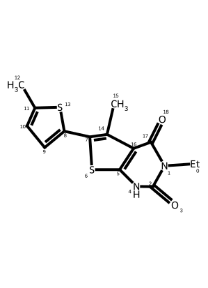 CCn1c(=O)[nH]c2sc(-c3ccc(C)s3)c(C)c2c1=O